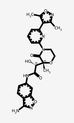 Cc1noc(C)c1-c1cccc(N2CCO[C@](C)([C@@H](O)C(=O)Nc3ccc4c(N)noc4c3)C2=O)n1